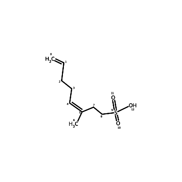 C=CCCC=C(C)CCS(=O)(=O)O